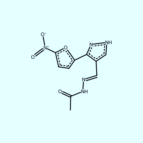 CC(=O)N/N=C/c1c[nH]nc1-c1ccc([N+](=O)[O-])o1